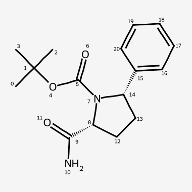 CC(C)(C)OC(=O)N1[C@@H](C(N)=O)CC[C@H]1c1ccccc1